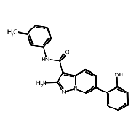 Cc1cccc(NC(=O)c2c(N)nn3cc(-c4ccccc4O)ccc23)c1